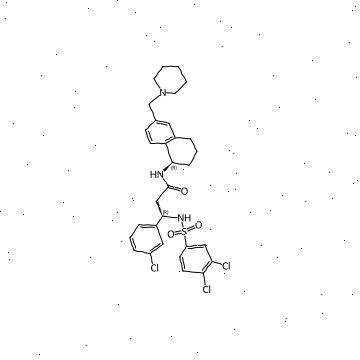 O=C(C[C@@H](NS(=O)(=O)c1ccc(Cl)c(Cl)c1)c1cccc(Cl)c1)N[C@@H]1CCCc2cc(CN3CCCCC3)ccc21